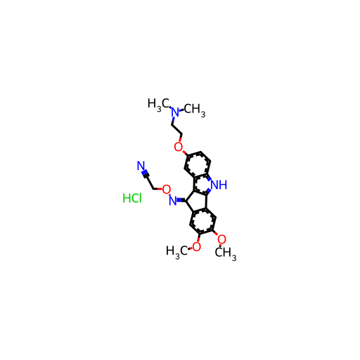 COc1cc2c(cc1OC)-c1[nH]c3ccc(OCCN(C)C)cc3c1/C2=N\OCC#N.Cl